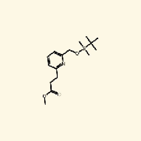 COC(=O)CCc1cccc(CO[Si](C)(C)C(C)(C)C)n1